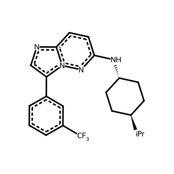 CC(C)[C@H]1CC[C@H](Nc2ccc3ncc(-c4cccc(C(F)(F)F)c4)n3n2)CC1